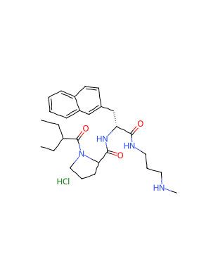 CCC(CC)C(=O)N1CCCC1C(=O)N[C@H](Cc1ccc2ccccc2c1)C(=O)NCCCNC.Cl